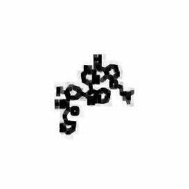 Cc1c(Nc2nccc(-c3c(-c4ccc(F)c(NC(=O)Cc5cccs5)c4)nn4ccccc34)n2)cccc1OCCN(C)C